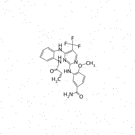 C=CC(=O)Nc1ccccc1Nc1nc(Nc2cc(C(N)=O)ccc2OC)ncc1C(F)(F)F